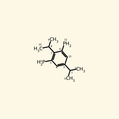 CC(C)c1cc(P)c(C(C)C)c(P)c1